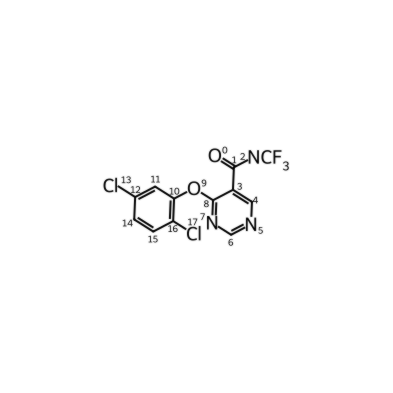 O=C(NC(F)(F)F)c1cncnc1Oc1cc(Cl)ccc1Cl